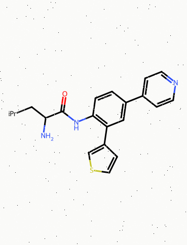 CC(C)CC(N)C(=O)Nc1ccc(-c2ccncc2)cc1-c1ccsc1